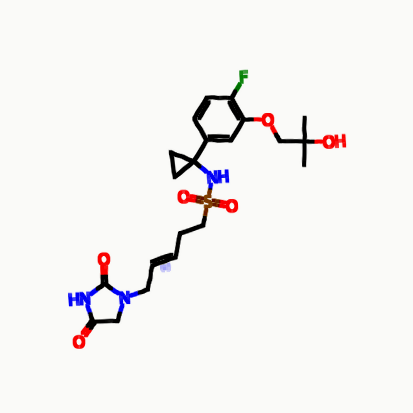 CC(C)(O)COc1cc(C2(NS(=O)(=O)CC/C=C/CN3CC(=O)NC3=O)CC2)ccc1F